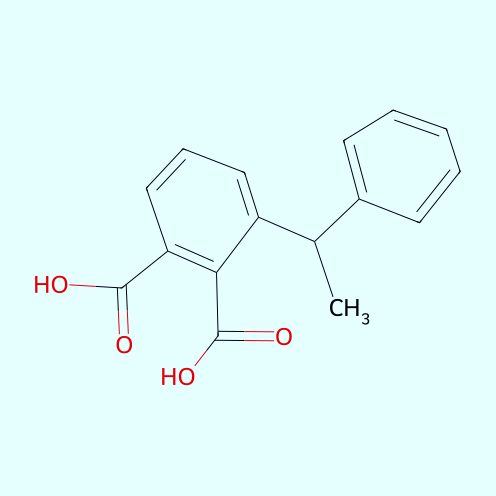 CC(c1ccccc1)c1cccc(C(=O)O)c1C(=O)O